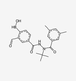 Cc1cc(C)cc(C(=O)N(NC(=O)c2ccc(BO)c(C=O)c2)C(C)(C)C)c1